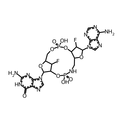 Nc1nc2c(ncn2C2OC3COP(=O)(O)OC4C(CNP(=O)(O)OC2C3F)OC(n2cnc3c(N)ncnc32)C4F)c(=O)[nH]1